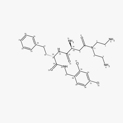 NCCN(CCN)C(=O)C[C@H](N)C(=O)N[C@@H](CCc1ccccc1)C(=O)NCc1ccc(Cl)cc1Cl